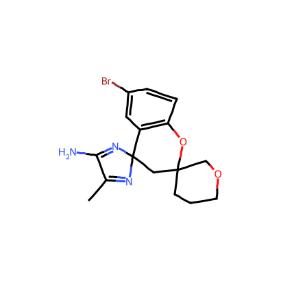 CC1=NC2(CC3(CCCOC3)Oc3ccc(Br)cc32)N=C1N